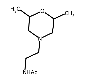 CC(=O)NCCN1CC(C)OC(C)C1